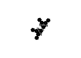 N#Cc1cc(Sc2cc(C#N)c(-n3c4ccc(-c5ccccc5)cc4c4cc(-c5ccccc5)ccc43)c(C#N)c2)cc(C#N)c1-n1c2ccc(-c3ccccc3)cc2c2cc(-c3ccccc3)ccc21